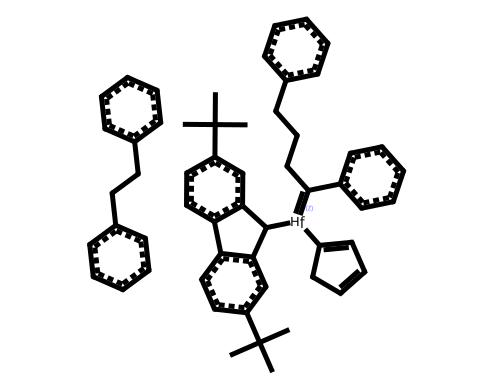 CC(C)(C)c1ccc2c(c1)[CH](/[Hf]([C]1=CC=CC1)=[C](\CCCc1ccccc1)c1ccccc1)c1cc(C(C)(C)C)ccc1-2.c1ccc(CCc2ccccc2)cc1